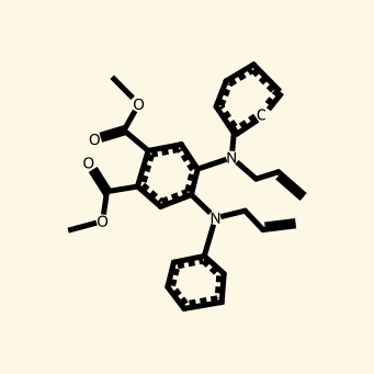 C=CCN(c1ccccc1)c1cc(C(=O)OC)c(C(=O)OC)cc1N(CC=C)c1ccccc1